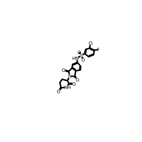 O=C1CCC(N2C(=O)c3ccc(NS(=O)(=O)c4ccc(F)c(Cl)c4)cc3C2=O)C(=O)N1